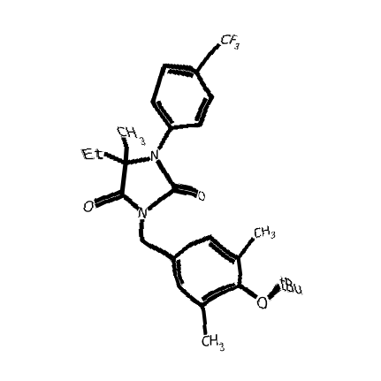 CCC1(C)C(=O)N(Cc2cc(C)c(OC(C)(C)C)c(C)c2)C(=O)N1c1ccc(C(F)(F)F)cc1